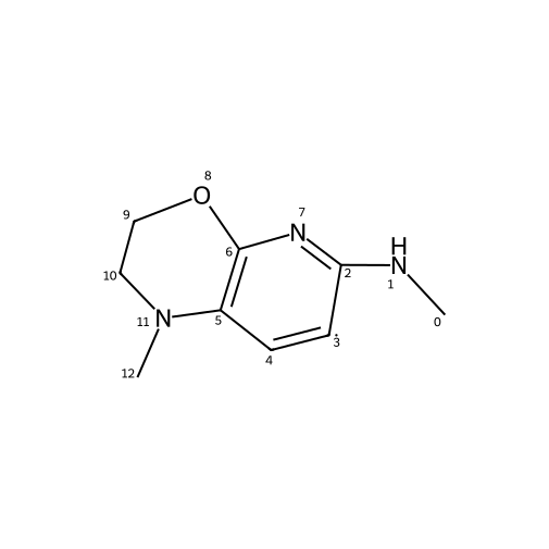 CNc1[c]cc2c(n1)OCCN2C